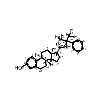 C[C@]12CC[C@@H]3c4ccc(O)cc4CC[C@H]3[C@@H]1CC[C@@H]2C(=O)NC(c1ccccc1)(C(F)(F)F)C(F)(F)F